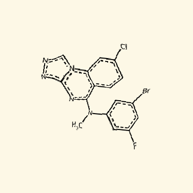 CN(c1cc(F)cc(Br)c1)c1nc2nncn2c2cc(Cl)ccc12